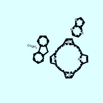 C1=Cc2cc3ccc(cc4nc(cc5ccc(cc1n2)[nH]5)C=C4)[nH]3.[Cu].[SiH4].c1ccc2c(c1)Cc1ccccc1-2.c1cnc2sccc2n1